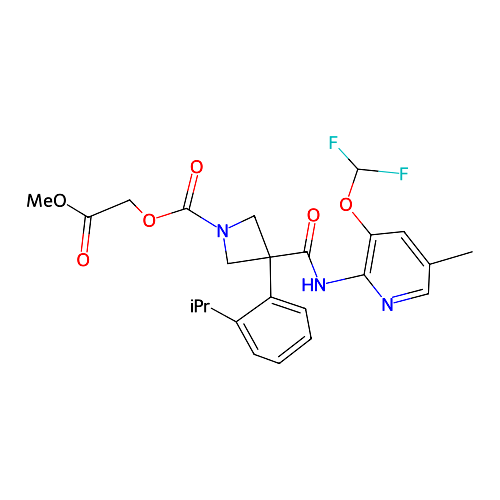 COC(=O)COC(=O)N1CC(C(=O)Nc2ncc(C)cc2OC(F)F)(c2ccccc2C(C)C)C1